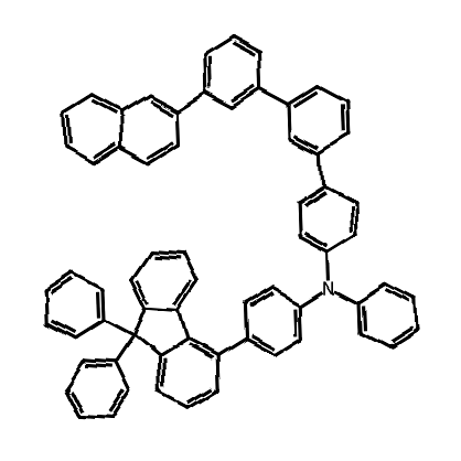 c1ccc(N(c2ccc(-c3cccc(-c4cccc(-c5ccc6ccccc6c5)c4)c3)cc2)c2ccc(-c3cccc4c3-c3ccccc3C4(c3ccccc3)c3ccccc3)cc2)cc1